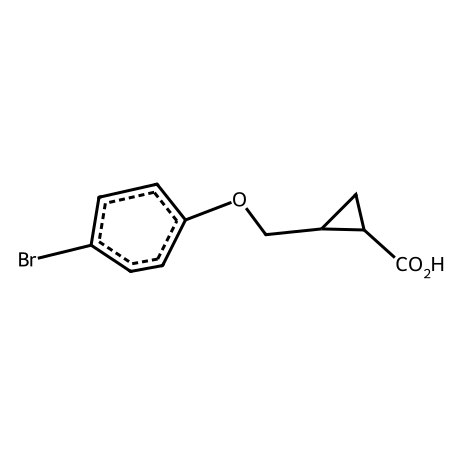 O=C(O)C1CC1COc1ccc(Br)cc1